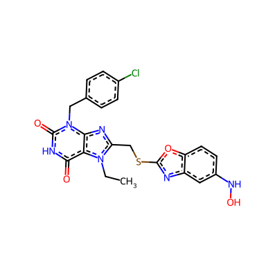 CCn1c(CSc2nc3cc(NO)ccc3o2)nc2c1c(=O)[nH]c(=O)n2Cc1ccc(Cl)cc1